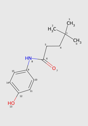 CC(C)(C)CCC(=O)Nc1ccc(O)cc1